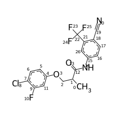 CC(COc1ccc(Cl)c(F)c1)C(=O)Nc1ccc(C#N)c(C(F)(F)F)c1